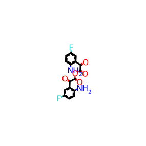 Nc1ccc(F)cc1C(=O)C(=O)OC(=O)C(=O)c1cc(F)ccc1N